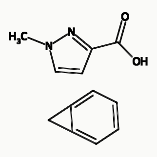 Cn1ccc(C(=O)O)n1.c1ccc2c(c1)C2